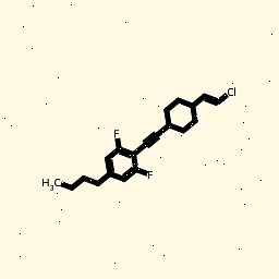 CCCCc1cc(F)c(C#CC2CCC(/C=C/Cl)CC2)c(F)c1